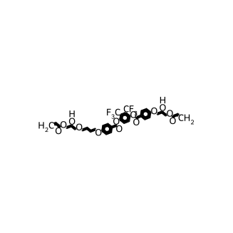 C=CC(=O)OCC(O)COCCCCOc1ccc(C(=O)Oc2ccc(OC(=O)c3ccc(OCC(O)COC(=O)C=C)cc3)c(C(F)(F)F)c2C(F)(F)F)cc1